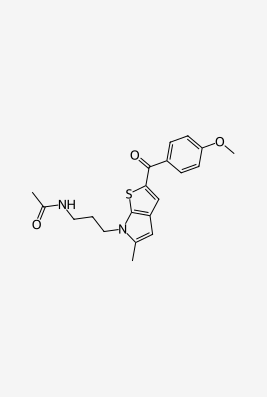 COc1ccc(C(=O)c2cc3cc(C)n(CCCNC(C)=O)c3s2)cc1